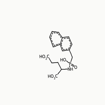 O=C(O)CCC(NP(=O)(O)Cc1ccc2ccccc2c1)C(=O)O